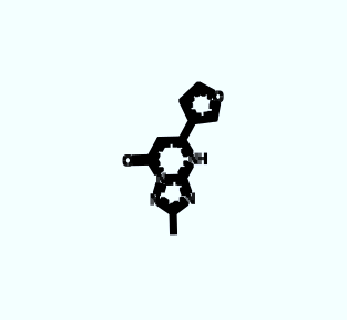 Cc1nc2[nH]c(-c3ccoc3)cc(=O)n2n1